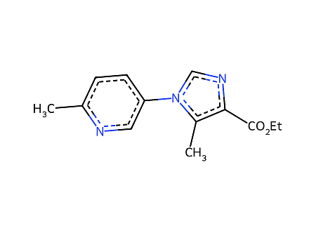 CCOC(=O)c1ncn(-c2ccc(C)nc2)c1C